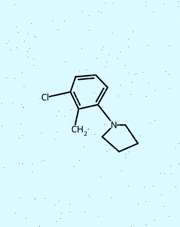 [CH2]c1c(Cl)cccc1N1CCCC1